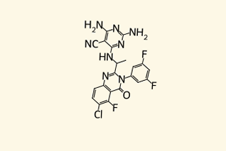 CC(Nc1nc(N)nc(N)c1C#N)c1nc2ccc(Cl)c(F)c2c(=O)n1-c1cc(F)cc(F)c1